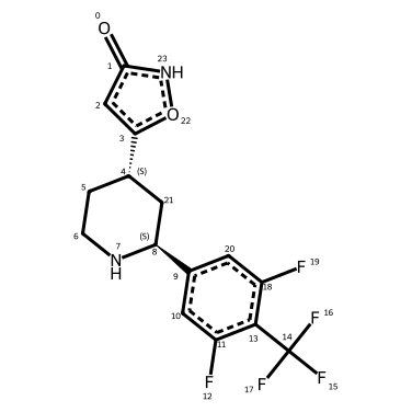 O=c1cc([C@H]2CCN[C@H](c3cc(F)c(C(F)(F)F)c(F)c3)C2)o[nH]1